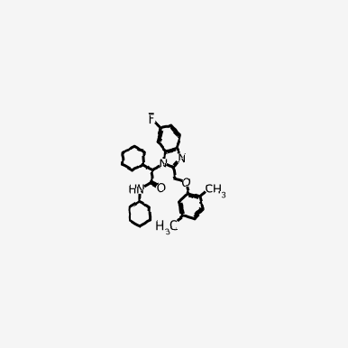 Cc1ccc(C)c(OCc2nc3ccc(F)cc3n2C(C(=O)NC2CCCCC2)C2CCCCC2)c1